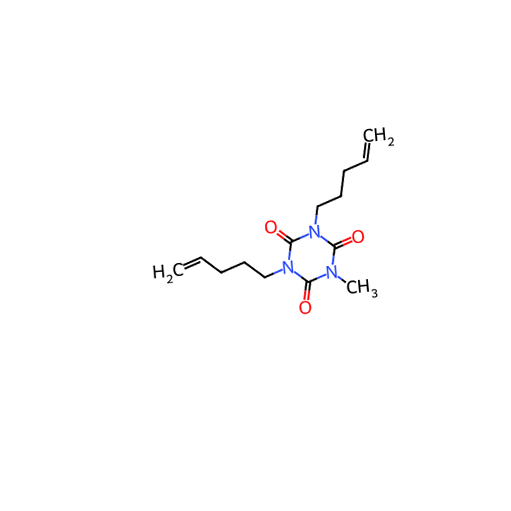 C=CCCCn1c(=O)n(C)c(=O)n(CCCC=C)c1=O